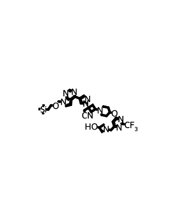 C[Si](C)(C)CCOCn1ccc2c(-c3cnn(C4(CC#N)CC(N5CCC(Oc6cc(CN7CC(O)C7)nc(C(F)(F)F)n6)CC5)C4)c3)ncnc21